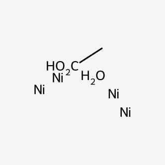 CC(=O)O.O.[Ni].[Ni].[Ni].[Ni]